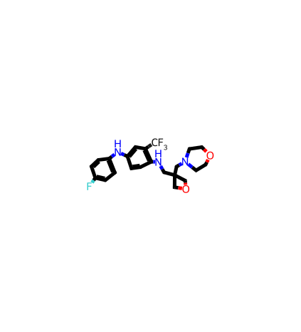 Fc1ccc(Nc2ccc(NCC3(CN4CCOCC4)COC3)c(C(F)(F)F)c2)cc1